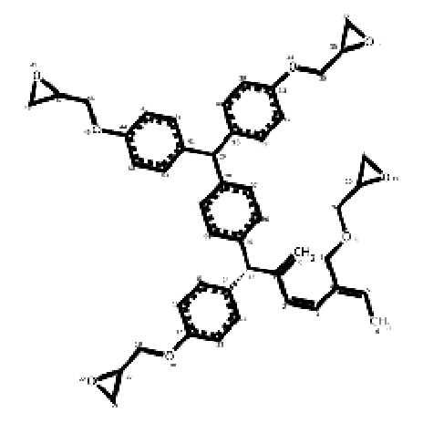 C=C(/C=C\C(=C/C)COCC1CO1)[C@H](c1ccc(OCC2CO2)cc1)c1ccc(C(c2ccc(OCC3CO3)cc2)c2ccc(OCC3CO3)cc2)cc1